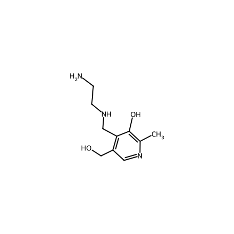 Cc1ncc(CO)c(CNCCN)c1O